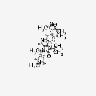 Cc1cc2c(cc1-c1c(C)noc1C)ncc1c2n(C(C)C)c(=O)n1C(C)c1ccn(C)c1